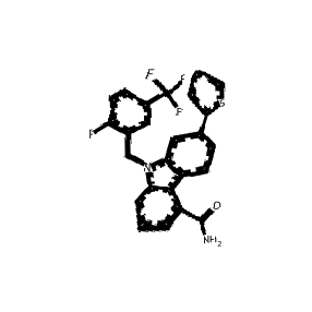 NC(=O)c1cccc2c1c1[c]cc(-c3cccs3)cc1n2Cc1cc(C(F)(F)F)ccc1F